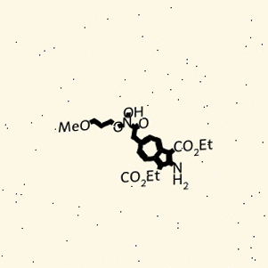 CCOC(=O)c1c2ccc(CC(=O)N(O)OCCCOC)ccc-2c(C(=O)OCC)c1N